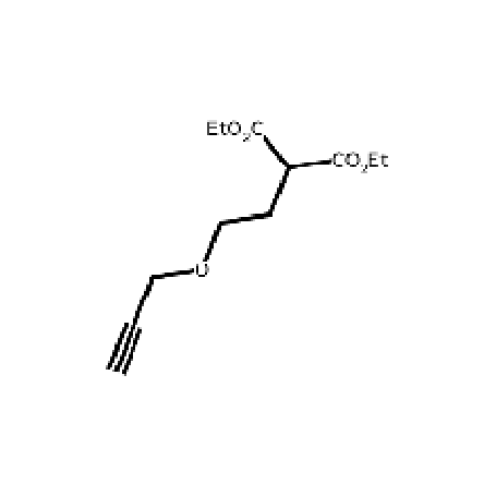 C#CCOCCC(C(=O)OCC)C(=O)OCC